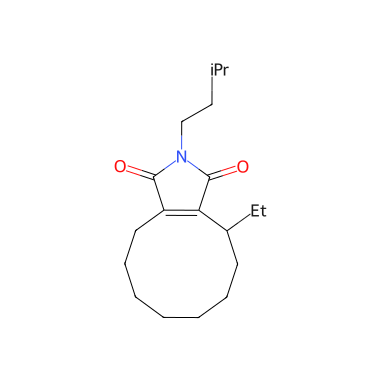 CCC1CCCCCCCC2=C1C(=O)N(CCC(C)C)C2=O